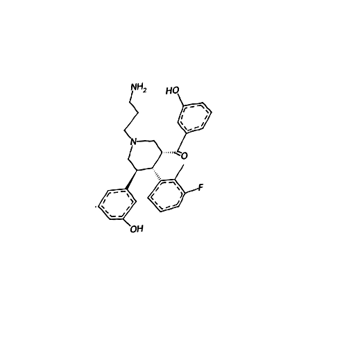 Cc1c(F)cccc1[C@H]1[C@@H](C(=O)c2cccc(O)c2)CN(CCCN)C[C@@H]1c1c[c]cc(O)c1